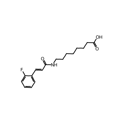 O=C(O)CCCCCCCNC(=O)/C=C/c1ccccc1F